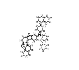 c1ccc(-c2cccc(N(c3ccc(-c4cccc5ccccc45)cc3)c3ccc4c(c3)sc3ccc5oc6c7ccccc7ccc6c5c34)c2)cc1